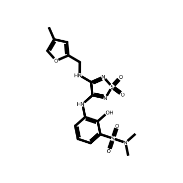 Cc1coc(CNC2=NS(=O)(=O)N=C2Nc2cccc(S(=O)(=O)N(C)C)c2O)c1